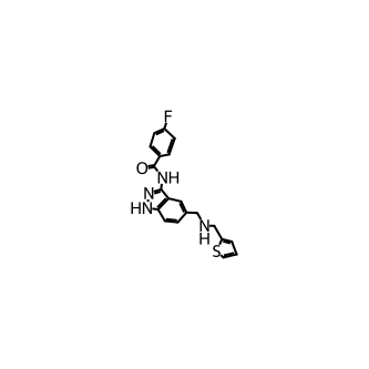 O=C(Nc1n[nH]c2ccc(CNCc3cccs3)cc12)c1ccc(F)cc1